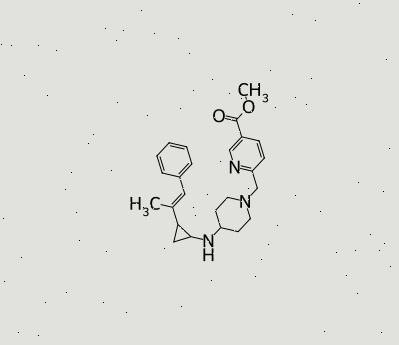 COC(=O)c1ccc(CN2CCC(NC3CC3C(C)=Cc3ccccc3)CC2)nc1